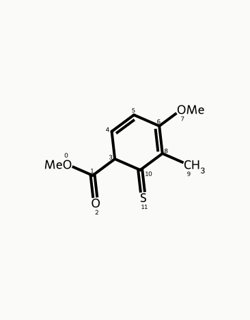 COC(=O)C1C=CC(OC)=C(C)C1=S